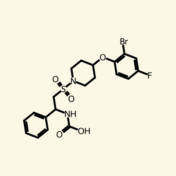 O=C(O)NC(CS(=O)(=O)N1CCC(Oc2ccc(F)cc2Br)CC1)c1ccccc1